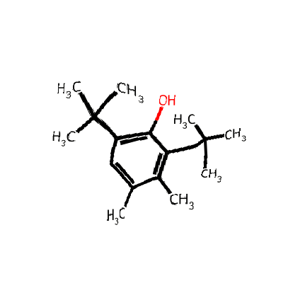 Cc1cc(C(C)(C)C)c(O)c(C(C)(C)C)c1C